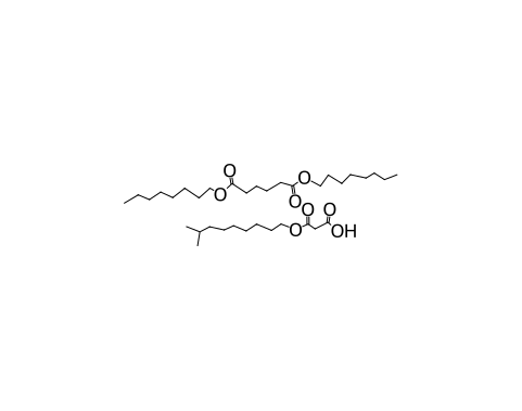 CC(C)CCCCCCCOC(=O)CC(=O)O.CCCCCCCCOC(=O)CCCCC(=O)OCCCCCCCC